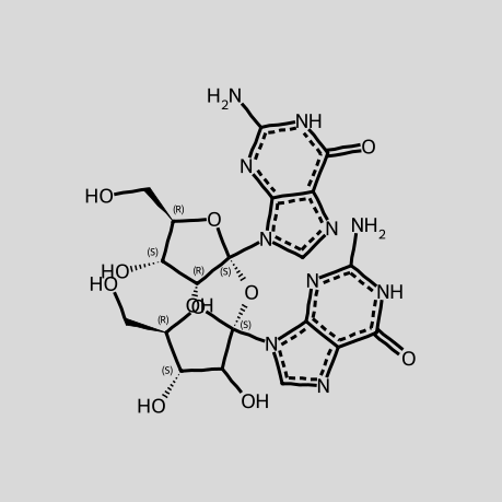 Nc1nc2c(ncn2[C@]2(O[C@@]3(n4cnc5c(=O)[nH]c(N)nc54)O[C@H](CO)[C@@H](O)[C@H]3O)O[C@H](CO)[C@@H](O)C2O)c(=O)[nH]1